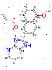 C=CCOc1c(-c2nc3ncccc3[nH]2)ccc2c(OC)cccc12